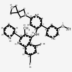 CCOc1cncc(-c2cnc(N3CC4(COC4)C3)cc2Nc2c(C)c(-c3ccccn3)nc3cc(F)cc(F)c23)c1